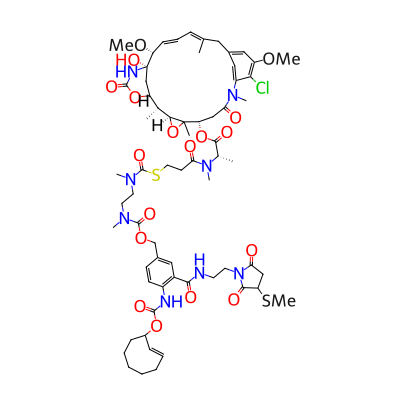 COc1cc2cc(c1Cl)N(C)C(=O)C[C@H](OC(=O)[C@H](C)N(C)C(=O)CCSC(=O)N(C)CCN(C)C(=O)OCc1ccc(NC(=O)OC3/C=C/CCCCC3)c(C(=O)NCCN3C(=O)CC(SC)C3=O)c1)C1(C)O[C@H]1[C@H](C)[C@@H]1C[C@@](O)(NC(=O)O1)[C@H](OC)/C=C/C=C(\C)C2